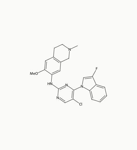 COc1cc2c(cc1Nc1ncc(Cl)c(-n3cc(F)c4ccccc43)n1)CN(C)CC2